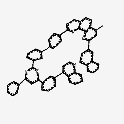 Cc1cc(-c2ccc3ccccc3c2)nc2c1ccc1ccc(-c3ccc(-c4cccc(-c5nc(-c6ccccc6)cc(-c6cccc(-c7ccnc8ccccc78)c6)n5)c4)cc3)nc12